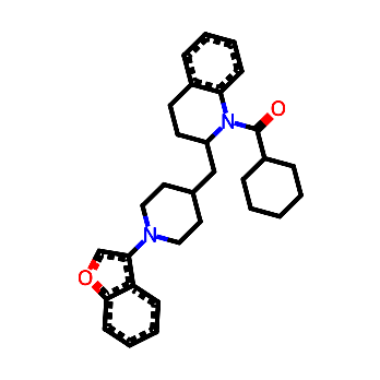 O=C(C1CCCCC1)N1c2ccccc2CCC1CC1CCN(c2coc3ccccc23)CC1